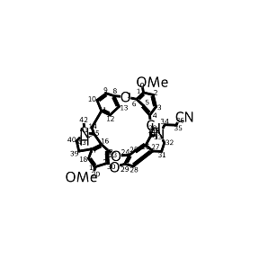 COc1ccc2cc1Oc1ccc(cc1)C[C@H]1c3c(cc(OC)c4c3Oc3cc5c(cc3O4)CCN(CCC#N)[C@H]5C2)CCN1C